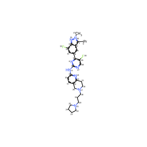 CC(C)c1c2cc(-c3nc(Nc4ccc5c(n4)CCN(CCCN4CCCC4)C5)ncc3F)cc(F)c2nn1C